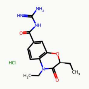 CC[C@@H]1Oc2cc(C(=O)NC(=N)N)ccc2N(CC)C1=O.Cl